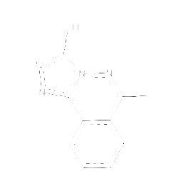 Cc1nnc2c3ccccc3c(Cl)nn12